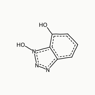 Oc1cccc2nnn(O)c12